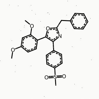 COc1ccc(-c2oc(Cc3ccccc3)nc2-c2ccc(S(C)(=O)=O)cc2)c(OC)c1